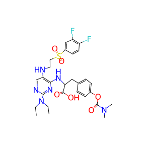 CCN(CC)c1ncc(NCCS(=O)(=O)c2ccc(F)c(F)c2)c(NC(Cc2ccc(OC(=O)N(C)C)cc2)C(=O)O)n1